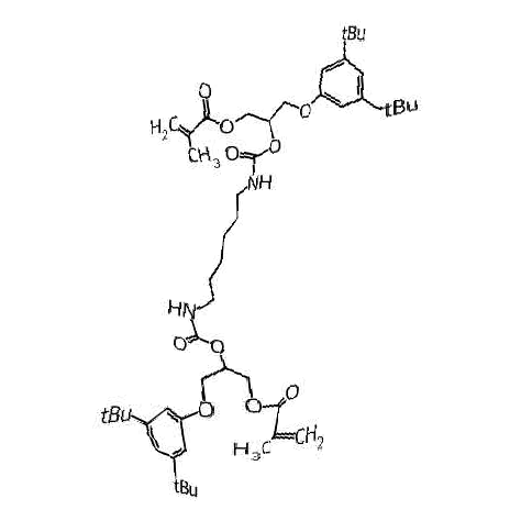 C=C(C)C(=O)OCC(COc1cc(C(C)(C)C)cc(C(C)(C)C)c1)OC(=O)NCCCCCCNC(=O)OC(COC(=O)C(=C)C)COc1cc(C(C)(C)C)cc(C(C)(C)C)c1